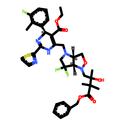 CCOC(=O)C1=C(CN2CC(F)(F)[C@@H]3[C@H]2CON3CC(C)(O)C(C)(C)C(=O)OCc2ccccc2)NC(c2nccs2)=N[C@H]1c1cccc(F)c1C